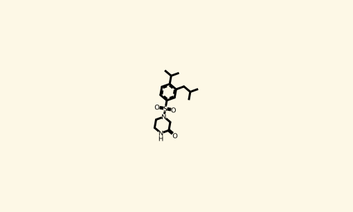 CC(C)Cc1cc(S(=O)(=O)N2CCNC(=O)C2)ccc1C(C)C